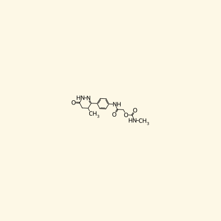 CNC(=O)OCC(=O)Nc1ccc(C2=NNC(=O)CC2C)cc1